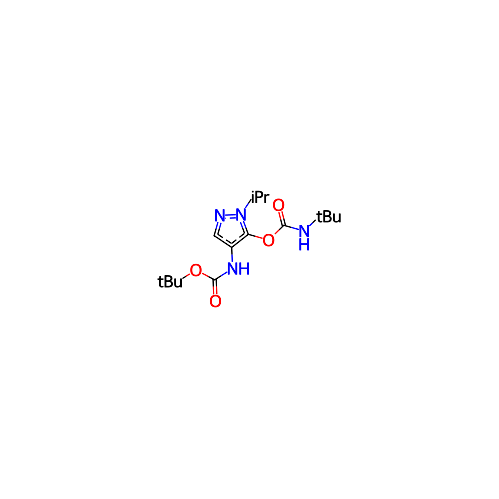 CC(C)n1ncc(NC(=O)OC(C)(C)C)c1OC(=O)NC(C)(C)C